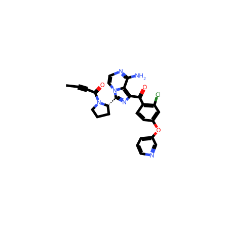 CC#CC(=O)N1CCC[C@H]1c1nc(C(=O)c2ccc(Oc3cccnc3)cc2Cl)c2c(N)nccn12